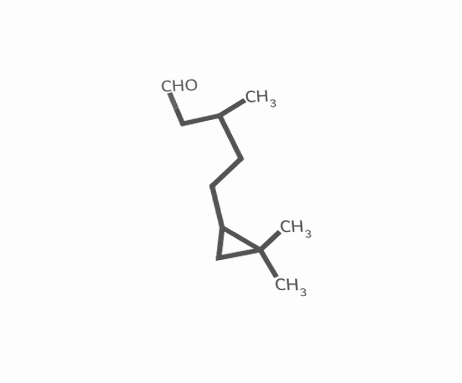 CC(CC=O)CCC1CC1(C)C